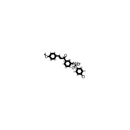 COc1ccc(C=CC(=O)c2cccc(NS(=O)(=O)c3ccc(Cl)cc3)c2)cc1